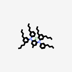 CCCCc1cccc(N(c2cc(CCCC)cc(CCCC)c2)c2cc(C)cc(N(c3cccc(CCCC)c3)c3cc(CCCC)cc(CCCC)c3)c2Cl)c1